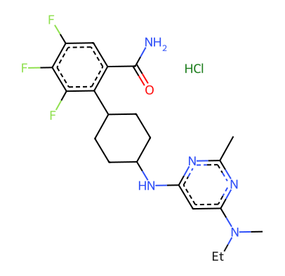 CCN(C)c1cc(NC2CCC(c3c(C(N)=O)cc(F)c(F)c3F)CC2)nc(C)n1.Cl